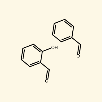 O=Cc1ccccc1.O=Cc1ccccc1O